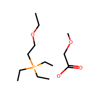 CCOCC[P+](CC)(CC)CC.COCC(=O)[O-]